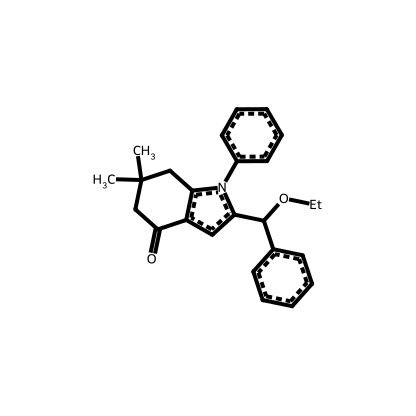 CCOC(c1ccccc1)c1cc2c(n1-c1ccccc1)CC(C)(C)CC2=O